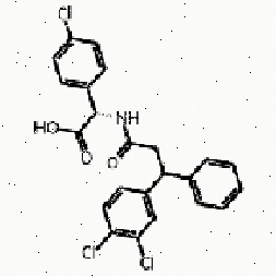 O=C(CC(c1ccccc1)c1ccc(Cl)c(Cl)c1)N[C@H](C(=O)O)c1ccc(Cl)cc1